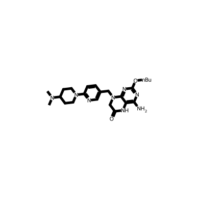 CCCCOc1nc(N)c2c(n1)N(Cc1ccc(N3CCC(N(C)C)CC3)nc1)CC(=O)N2